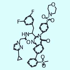 CS(=O)(=O)c1ccccc1-c1ccc2c(=O)n(-c3ccc(S(=O)(=O)N4CCOCC4)cc3)c(C(Cc3cc(F)cc(F)c3)NC(=O)Cn3ccc(C4CC4)n3)nc2c1